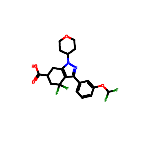 O=C(O)C1Cc2c(c(-c3cccc(OC(F)F)c3)nn2C2CCOCC2)C(F)(F)C1